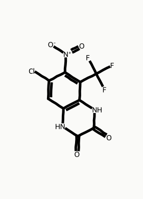 O=c1[nH]c2cc(Cl)c([N+](=O)[O-])c(C(F)(F)F)c2[nH]c1=O